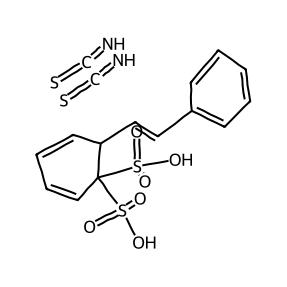 N=C=S.N=C=S.O=S(=O)(O)C1(S(=O)(=O)O)C=CC=CC1C=Cc1ccccc1